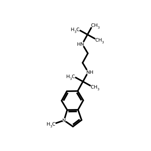 Cn1ccc2cc(C(C)(C)NCCNC(C)(C)C)ccc21